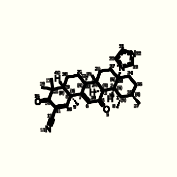 C[C@@H]1[C@H]2[C@H]3C(=O)C=C4[C@@]5(C)C=C(C#N)C(=O)C(C)(C)[C@@H]5CC[C@@]4(C)[C@]3(C)CC[C@@]2(n2ccnc2)CC[C@H]1C